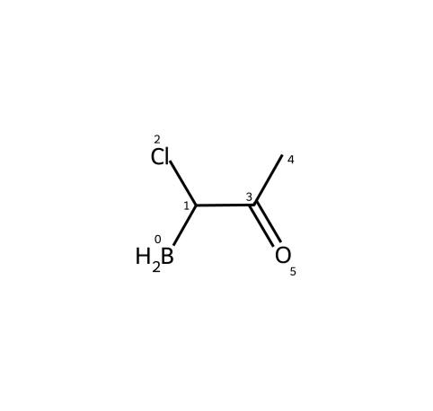 BC(Cl)C(C)=O